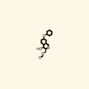 O=COCc1ncc2cc(Oc3ccccc3)ccc2c1O